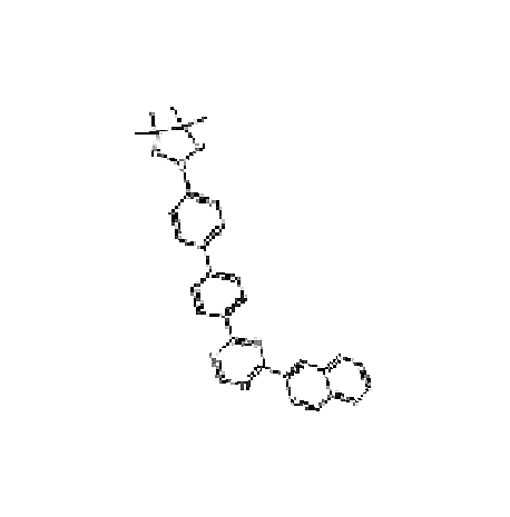 CC1(C)OB(c2ccc(-c3ccc(-c4ncnc(-c5ccc6ccccc6c5)n4)cc3)cc2)OC1(C)C